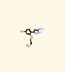 C=CCOc1cc(Br)cc(F)c1-c1cc(N)[nH]n1